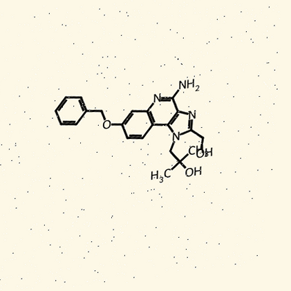 CC(C)(O)Cn1c(CO)nc2c(N)nc3cc(OCc4ccccc4)ccc3c21